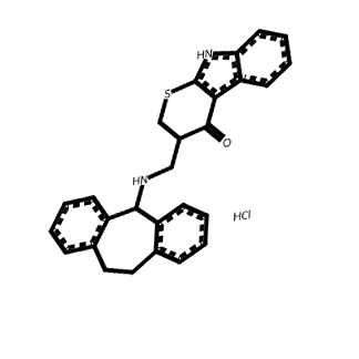 Cl.O=C1c2c([nH]c3ccccc23)SCC1CNC1c2ccccc2CCc2ccccc21